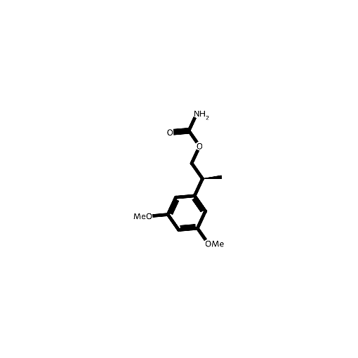 COc1cc(OC)cc([C@H](C)COC(N)=O)c1